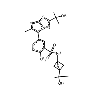 Cc1nc2sc(C(C)(C)O)nn2c1-c1ccc(C(F)(F)F)c(S(=O)(=O)NC23CC(C(C)(C)O)(C2)C3)c1